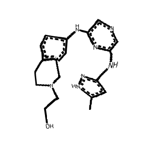 Cc1cc(Nc2cncc(Nc3ccc4c(c3)CN(CCO)CC4)n2)n[nH]1